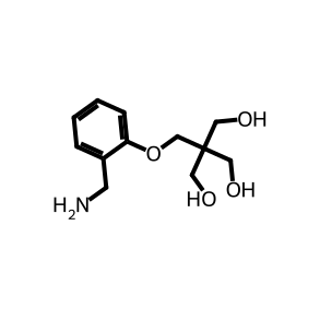 NCc1ccccc1OCC(CO)(CO)CO